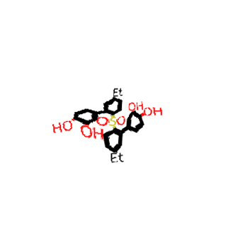 CCc1ccc(S(=O)(=O)c2ccc(CC)cc2-c2ccc(O)c(O)c2)c(-c2ccc(O)c(O)c2)c1